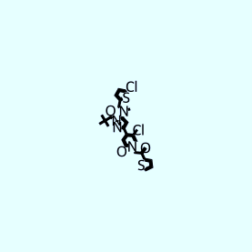 CN(Cc1ccc(Cl)s1)c1cc(-c2cc(=O)n(CC(=O)c3cccs3)cc2Cl)nn1C(=O)C(C)(C)C